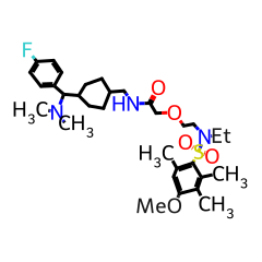 CCN(CCOCC(=O)NCC1CCC(C(c2ccc(F)cc2)N(C)C)CC1)S(=O)(=O)c1c(C)cc(OC)c(C)c1C